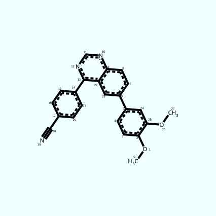 COc1ccc(-c2ccc3ncnc(-c4ccc(C#N)cc4)c3c2)cc1OC